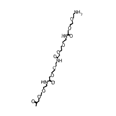 CC(=O)COCCOCCNC(=O)COCCOCCNC(=O)COCCOCCNC(=O)COCCOCCN